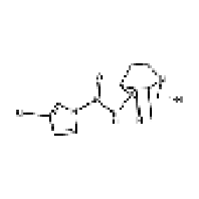 C[C@H]1[C@H](NC(=O)n2ccc(Cl)c2)C2CCN1CC2